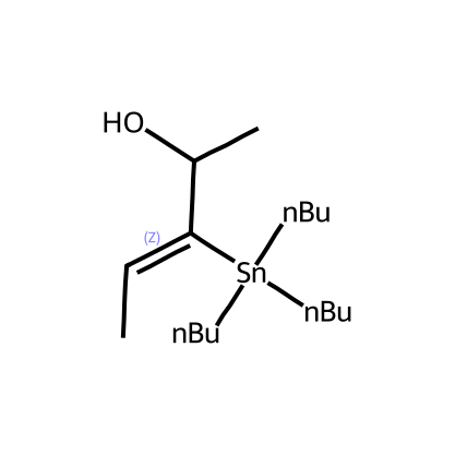 C/C=[C](/C(C)O)[Sn]([CH2]CCC)([CH2]CCC)[CH2]CCC